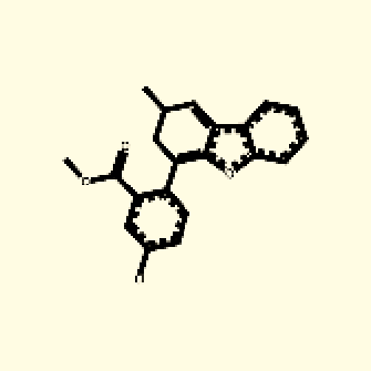 COC(=O)c1cc(Cl)ccc1C1=c2oc3ccccc3c2=CC(C)C1